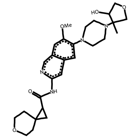 COc1cc2cnc(NC(=O)C3CC34CCOCC4)cc2cc1N1CCN(C2(C)COCC2O)CC1